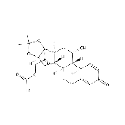 CC(C)C(=O)OCC(=O)[C@@]12OC(C)(C)O[C@@H]1C[C@H]1[C@@H]3CCC4=CC(=O)C=C[C@]4(C)[C@H]3[C@@H](O)C[C@@]12C